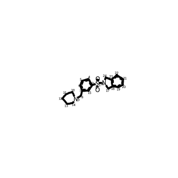 O=S(=O)(c1cccc(CN2CCCCC2)c1)N1Cc2ccccc2C1